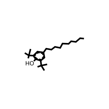 CCCCCCCCCCc1cc(C(C)(C)C)c(O)c(C(C)(C)C)c1